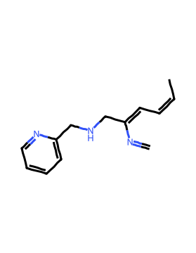 C=N/C(=C\C=C/C)CNCc1ccccn1